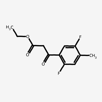 CCOC(=O)CC(=O)c1cc(F)c(C)cc1F